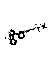 CC(C)(C)OC(=O)NCCCNc1cccc(-c2ccnc3[nH]c4ccccc4c23)c1